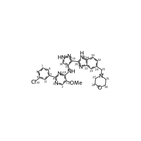 COc1cnc(-c2cccc(Cl)c2)nc1Nc1c[nH]nc1-c1nc2cc(CN3CCOCC3)ccc2[nH]1